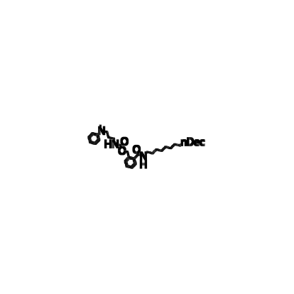 CCCCCCCCCCCCCCCCCCNC(=O)c1ccccc1COC(=O)NCCCN(C)c1ccccc1